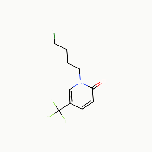 O=c1ccc(C(F)(F)F)cn1CCCCCl